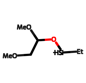 CC[SiH]OC(COC)OC